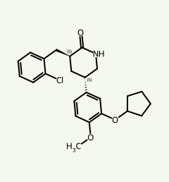 COc1ccc([C@H]2CNC(=O)[C@H](Cc3ccccc3Cl)C2)cc1OC1CCCC1